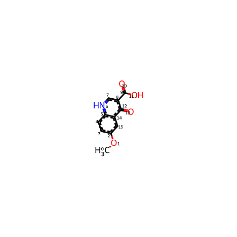 COc1ccc2[nH]cc(C(=O)O)c(=O)c2c1